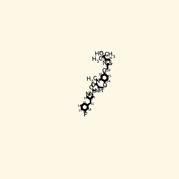 CN1C(=O)[C@@H](NC(=O)n2cc(Cc3cccc(F)c3)cn2)COc2ccc(OCc3nc(C(C)(C)O)cs3)cc21